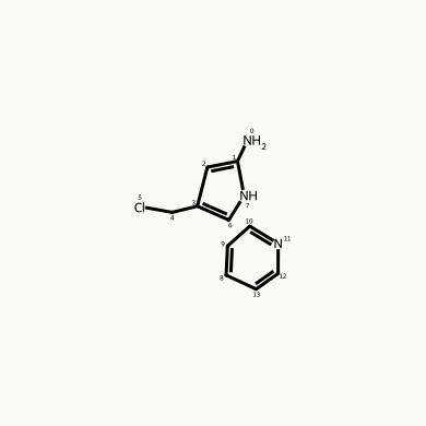 Nc1cc(CCl)c[nH]1.c1ccncc1